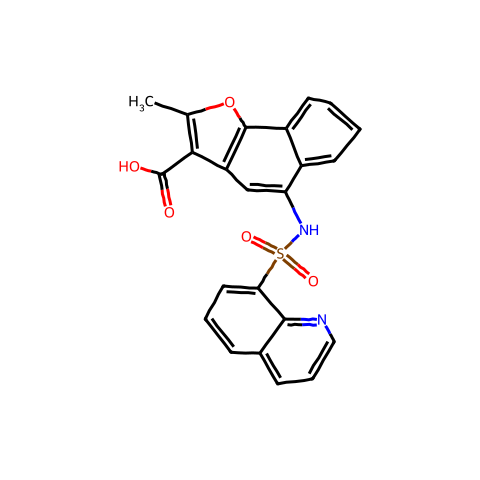 Cc1oc2c(cc(NS(=O)(=O)c3cccc4cccnc34)c3ccccc32)c1C(=O)O